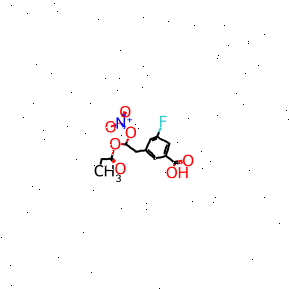 CCC(=O)OC(Cc1cc(F)cc(C(=O)O)c1)O[N+](=O)[O-]